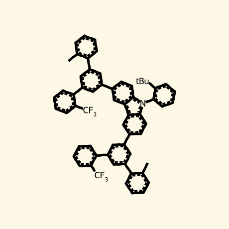 Cc1ccccc1-c1cc(-c2ccc3c(c2)c2cc(-c4cc(-c5ccccc5C)cc(-c5ccccc5C(F)(F)F)c4)ccc2n3-c2ccccc2C(C)(C)C)cc(-c2ccccc2C(F)(F)F)c1